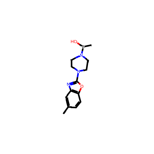 CB(O)N1CCN(c2nc3cc(C)ccc3o2)CC1